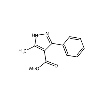 COC(=O)c1c(-c2ccccc2)n[nH]c1C